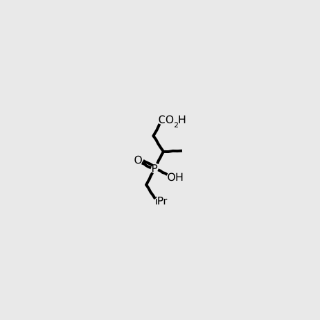 CC(C)CP(=O)(O)C(C)CC(=O)O